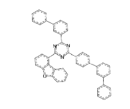 c1ccc(-c2cccc(-c3ccc(-c4nc(-c5cccc(-c6ccccc6)c5)nc(-c5cccc6oc7ccccc7c56)n4)cc3)c2)cc1